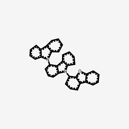 c1ccc2c(c1)oc1c(-n3c4ccccc4c4c(-n5c6ccccc6c6ccccc65)cccc43)cccc12